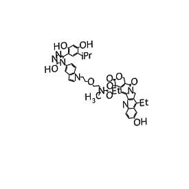 CCc1c2c(nc3ccc(O)cc13)-c1cc3c(c(=O)n1C2)COC(=O)C3(CC)OC(=O)N(C)CCOCCn1ccc2cc(-n3c(O)nnc3-c3cc(C(C)C)c(O)cc3O)ccc21